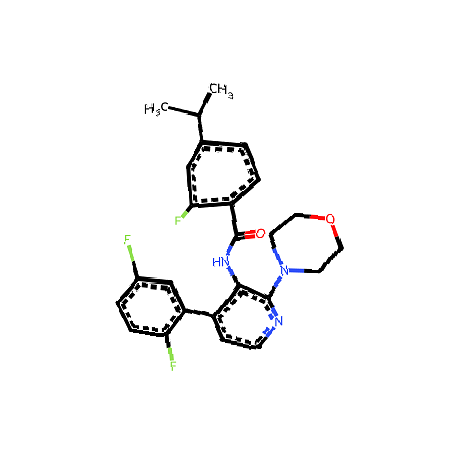 CC(C)c1ccc(C(=O)Nc2c(-c3cc(F)ccc3F)ccnc2N2CCOCC2)c(F)c1